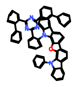 c1ccc(-c2cccc(-c3nc(-c4ccccc4-c4ccccc4)nc(-c4ccccc4-n4c5ccccc5c5ccc6c7ccc8c9ccccc9n(-c9ccccc9)c8c7oc6c54)n3)c2)cc1